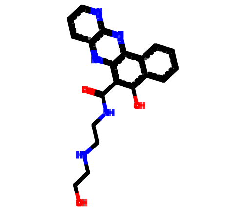 O=C(NCCNCCO)c1c(O)c2ccccc2c2nc3ncccc3nc12